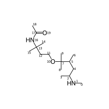 CNC(C)CC(C)C(C)(C)OCCC(C)(C)NC(C)=O